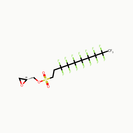 O=S(=O)(CCC(F)(F)C(F)(F)C(F)(F)C(F)(F)C(F)(F)C(F)(F)C(F)(F)C(F)(F)F)OC[C@H]1CO1